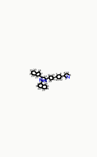 c1cncc(-c2ccc(-c3ccc(-c4cc(-c5ccc6ccccc6c5)nc(-c5cccc6ccccc56)n4)cc3)cc2)c1